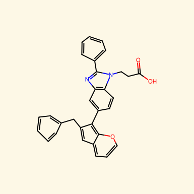 O=C(O)CCn1c(-c2ccccc2)nc2cc(-c3c(Cc4ccccc4)cc4cccoc3-4)ccc21